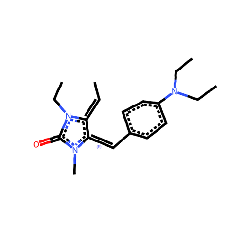 CC=c1/c(=C\c2ccc(N(CC)CC)cc2)n(C)c(=O)n1CC